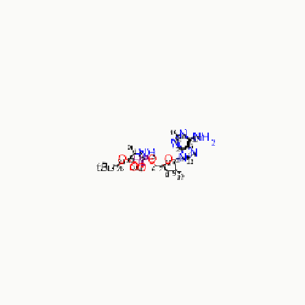 C[C@@H](N[PH](=O)OC[C@@H]1C[C@H](C)[C@H](n2cnc3c(N)ncnc32)O1)C(=O)OCC(C)(C)C